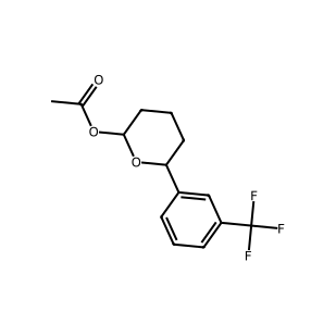 CC(=O)OC1CCCC(c2cccc(C(F)(F)F)c2)O1